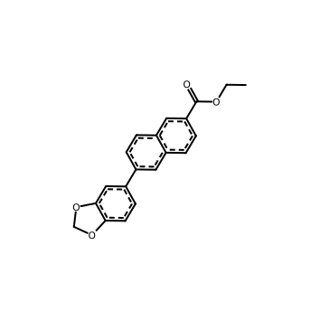 CCOC(=O)c1ccc2cc(-c3ccc4c(c3)OCO4)ccc2c1